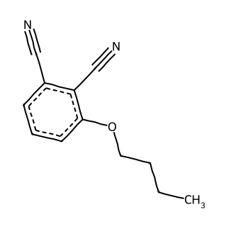 CCCCOc1cccc(C#N)c1C#N